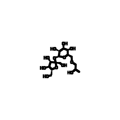 CC(O)COC[C@H]1O[C@H](O[C@]2(CO)O[C@H](CO)[C@@H](O)[C@@H]2O)[C@H](O)[C@@H](O)[C@@H]1O